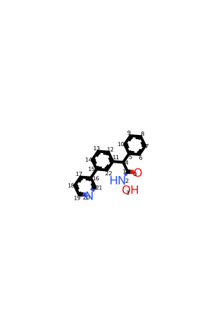 O=C(NO)C(c1ccccc1)c1cccc(-c2cccnc2)c1